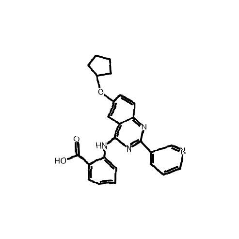 O=C(O)c1ccccc1Nc1nc(-c2cccnc2)nc2ccc(OC3CCCC3)cc12